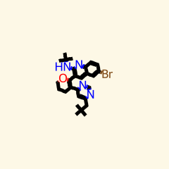 CC(C)(C)Cc1cc(C2=C(c3cc4cc(Br)ccc4nc3NC(C)(C)C)OCCC2)ncn1